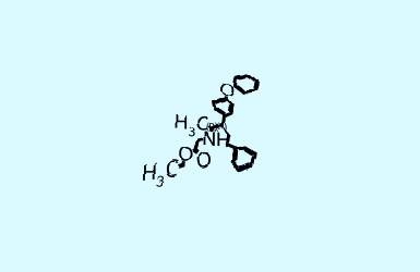 CCOC(=O)CN[C@H](C)[C@H](CCc1ccccc1)c1ccc(Oc2ccccc2)cc1